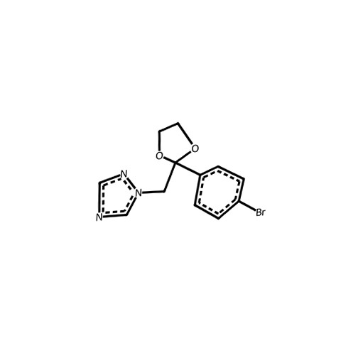 Brc1ccc(C2(Cn3cncn3)OCCO2)cc1